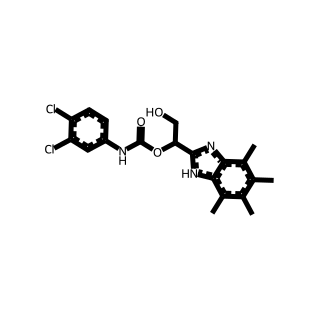 Cc1c(C)c(C)c2[nH]c(C(CO)OC(=O)Nc3ccc(Cl)c(Cl)c3)nc2c1C